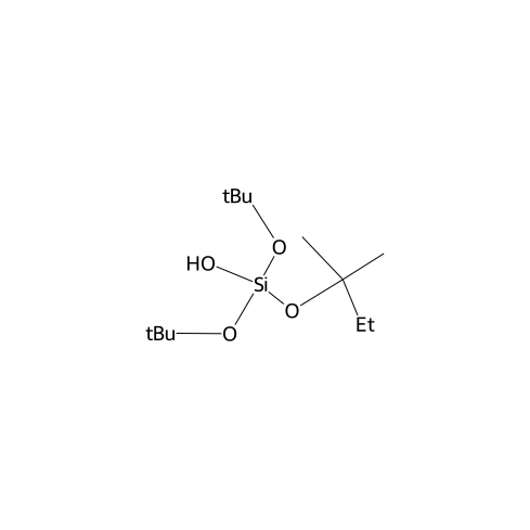 CCC(C)(C)O[Si](O)(OC(C)(C)C)OC(C)(C)C